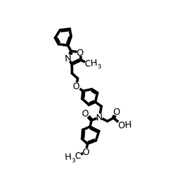 COc1ccc(C(=O)N(CC(=O)O)Cc2ccc(OCCc3nc(-c4ccccc4)oc3C)cc2)cc1